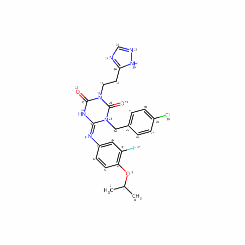 CC(C)Oc1ccc(/N=c2/[nH]c(=O)n(CCc3ncn[nH]3)c(=O)n2Cc2ccc(Cl)cc2)cc1F